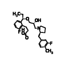 CC[C@@H](OC[C@H](O)CN1CCC[C@H]1Cc1ccc(C)c(F)c1)c1cccc(F)c1CCC(=O)O